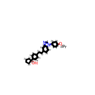 CC(C)Oc1ccc(-n2cnc3cc(C=Cc4ccc(C5(O)CCCC5)cc4)ccc32)cc1